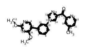 COc1ncc(-c2cccc(-n3cnc(C(=O)c4cc(C)ccn4)c3)c2)c(OC)n1